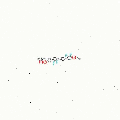 C=CCCOc1ccc(-c2ccc(CCc3ccc(C4=CCC(C(O)CCC)CC4)c(F)c3F)cc2)c(F)c1F